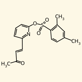 CC(=O)C=Cc1cccc(OS(=O)(=O)c2ccc(C)cc2C)n1